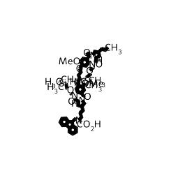 CC=CC1=CN2C(=O)c3cc(OC)c(OCCCOc4cc5c(cc4OC)C(=O)N4C=C(C=CCN(CC6c7ccccc7-c7ccccc76)C(=O)O)C[C@H]4C(=O)N5COCC[Si](C)(C)C)cc3N(COCC[Si](C)(C)C)C(=O)[C@@H]2C1